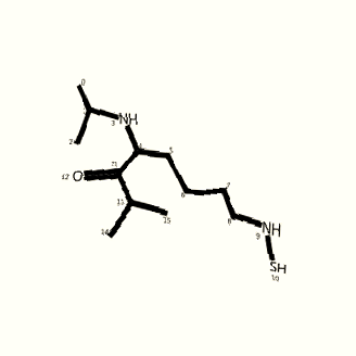 CC(C)NC(CCCCNS)C(=O)C(C)C